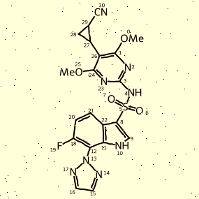 COc1nc(NS(=O)(=O)c2c[nH]c3c(-n4nccn4)c(F)ccc23)nc(OC)c1C1CC1C#N